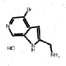 Cl.NCc1cc2c(Br)cncc2[nH]1